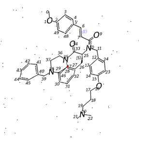 COc1ccc(/C=C/C(=O)N(Cc2ccc(OCCCN(C)C)cc2)[C@@H](Cc2ccccc2)C(=O)N2CCN(Cc3ccccc3)CC2)cc1